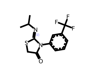 CC(C)/N=C1\SCC(=O)N1c1cccc(C(F)(F)F)c1